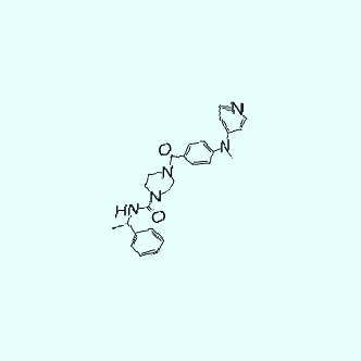 C[C@@H](NC(=O)N1CCN(C(=O)c2ccc(N(C)c3ccncc3)cc2)CC1)c1ccccc1